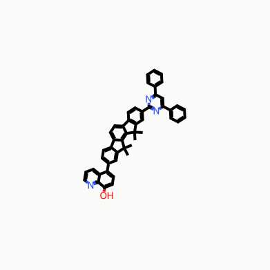 CC1(C)c2cc(-c3nc(-c4ccccc4)cc(-c4ccccc4)n3)ccc2-c2ccc3c(c21)C(C)(C)c1cc(-c2ccc(O)c4ncccc24)ccc1-3